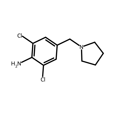 Nc1c(Cl)cc(CN2CCCC2)cc1Cl